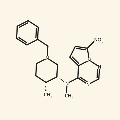 C[C@@H]1CCN(Cc2ccccc2)C[C@@H]1N(C)c1ncnn2c([N+](=O)[O-])ccc12